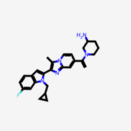 C=C(c1ccn2c(C)c(-c3cc4ccc(F)cc4n3CC3CC3)nc2c1)N1CCCC(N)C1